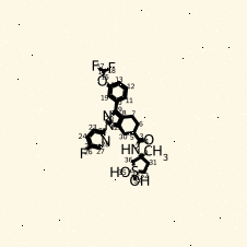 CC1(NC(=O)C2CCc3c(-c4cccc(OC(F)F)c4)nn(-c4ccc(F)cn4)c3C2)CCS(O)(O)C1